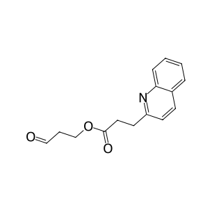 O=CCCOC(=O)CCc1ccc2ccccc2n1